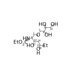 CCOC(=O)NC(COCC(O)C(O)CO)C(O)CC(O)CC